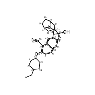 CCC1CCC(Oc2ccc3ccc(C(C)N4C5CCC4CC(C(=O)O)C5)cc3c2C#N)CC1